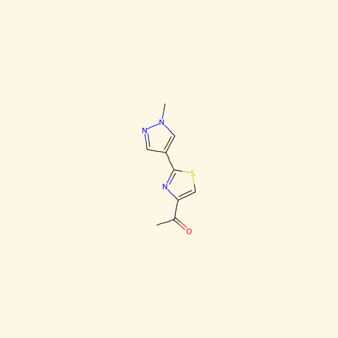 CC(=O)c1csc(-c2cnn(C)c2)n1